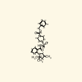 C[C@@H]1CN(c2ncccc2C(=O)PS(=O)(=O)N2CCN(C(=O)OCc3ccccc3)CC2)C(C)(C)C1